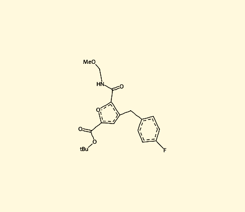 COCNC(=O)c1oc(C(=O)OC(C)(C)C)cc1Cc1ccc(F)cc1